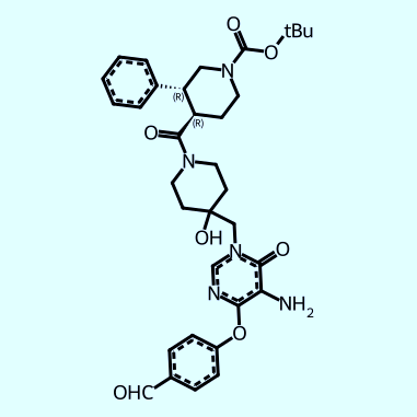 CC(C)(C)OC(=O)N1CC[C@@H](C(=O)N2CCC(O)(Cn3cnc(Oc4ccc(C=O)cc4)c(N)c3=O)CC2)[C@H](c2ccccc2)C1